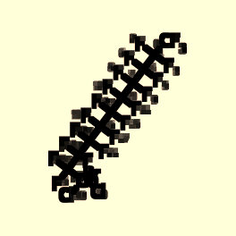 FC(F)(F)C(F)(F)C(F)(F)C(F)(F)C(F)(F)C(F)(F)C(F)(F)C(F)(F)C(F)(F)[C](F)(F)[Ge]([Cl])([Cl])[Br]